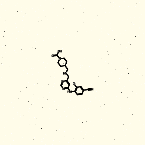 N#Cc1ccc(Nc2cc(CNCC3CCN(C(=O)O)CC3)ncn2)c(F)c1